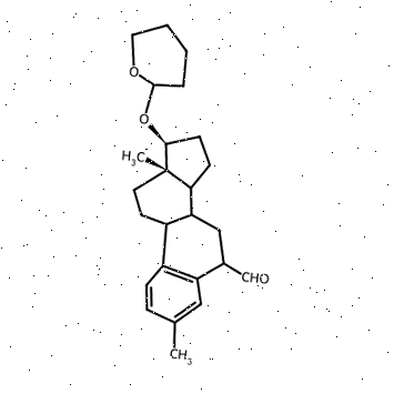 Cc1ccc2c(c1)C(C=O)CC1C2CC[C@@]2(C)C1CC[C@@H]2OC1CCCCO1